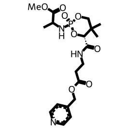 COC(=O)C(C)NP1(=O)OCC(C)(C)[C@H](C(=O)NCCC(=O)OCc2ccncc2)O1